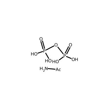 CC(N)=O.O=P(O)(O)OP(=O)(O)O